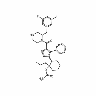 CCC[C@]1(OC(N)=O)CCCC[C@@H]1n1cnc(C(=O)N2CCNC[C@H]2Cc2cc(F)cc(F)c2)c1-c1ccccc1